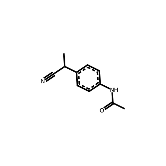 CC(=O)Nc1ccc(C(C)C#N)cc1